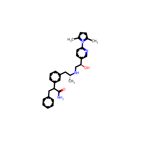 Cc1ccc(C)n1-c1ccc([C@@H](O)CN[C@H](C)Cc2cccc(C(Cc3ccccc3)C(N)=O)c2)cn1